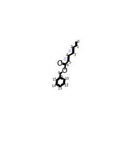 C=C/C=C/C=C/C(=O)OCc1ccccc1